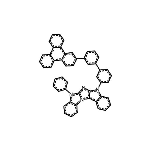 c1ccc(-n2c3ccccc3n3c4c5ccccc5n(-c5cccc(-c6cccc(-c7ccc8c9ccccc9c9ccccc9c8c7)c6)c5)c4nc23)cc1